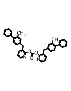 Cc1cc(Cc2cccnc2OC(=O)Oc2ncccc2Cc2ccc(-c3ccccc3)c(C)c2)ccc1-c1ccccc1